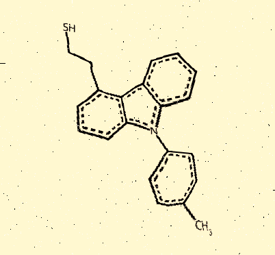 Cc1ccc(-n2c3ccccc3c3c(CCS)cccc32)cc1